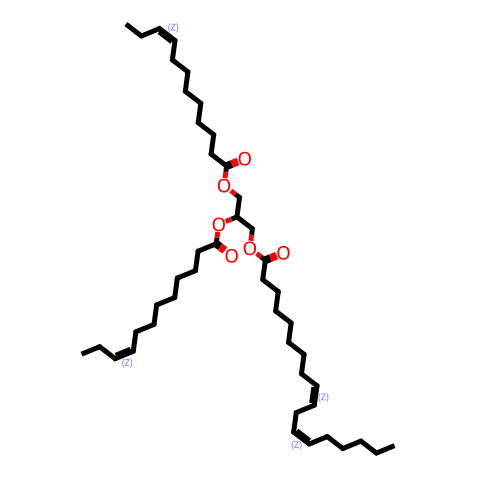 CC/C=C\CCCCCCCC(=O)OCC(COC(=O)CCCCCCC/C=C\C/C=C\CCCCC)OC(=O)CCCCCCC/C=C\CC